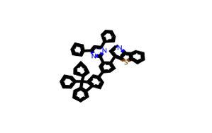 c1ccc(-c2cc(-c3ccccc3)nc(-c3cc(-c4ccc5c(c4)C(c4ccccc4)(c4ccccc4)c4ccccc4-5)ccc3-c3ccnc4c3sc3ccccc34)n2)cc1